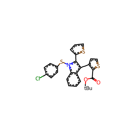 CC(C)(C)OC(=O)c1sccc1-c1c(-c2cccs2)n(Sc2ccc(Cl)cc2)c2ccccc12